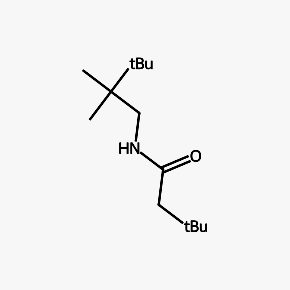 CC(C)(C)CC(=O)NCC(C)(C)C(C)(C)C